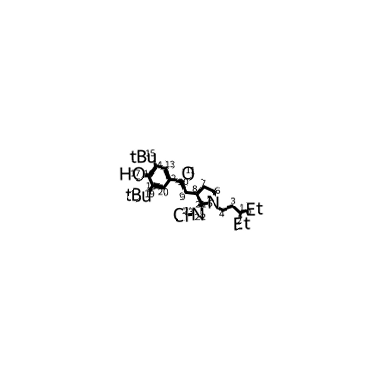 CCC(CC)CCN1CCC(CC(=O)c2cc(C(C)(C)C)c(O)c(C(C)(C)C)c2)/C1=N\Cl